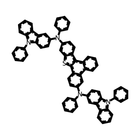 c1ccc(N(c2ccc3c(c2)sc2c4ccc(N(c5ccccc5)c5ccc6c(c5)c5ccccc5n6-c5ccccc5)cc4c4ccccc4c32)c2ccc3c(c2)c2ccccc2n3-c2ccccc2)cc1